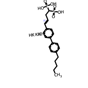 CCCCCc1ccc(-c2ccc(/C=C/CC(P(=O)(O)O)S(=O)(=O)O)cc2)cc1.[KH].[KH].[KH]